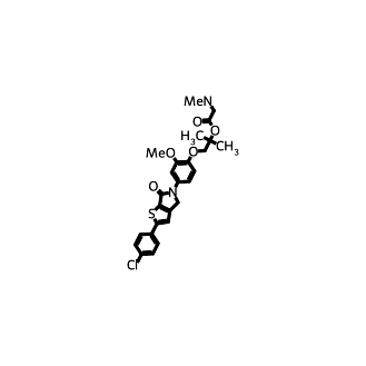 CNCC(=O)OC(C)(C)COc1ccc(N2Cc3cc(-c4ccc(Cl)cc4)sc3C2=O)cc1OC